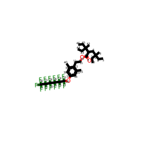 CCC(C)(CC)CC(C(=O)OCCc1c(C)cc(OC(F)(F)C(F)(F)C(F)(F)C(F)(F)C(F)(F)C(F)(F)F)cc1C)C(C)(CC)CC